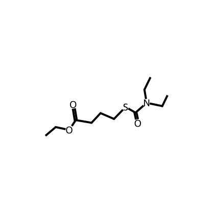 CCOC(=O)CCCSC(=O)N(CC)CC